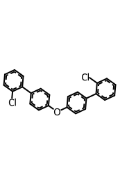 Clc1ccccc1-c1ccc(Oc2ccc(-c3ccccc3Cl)cc2)cc1